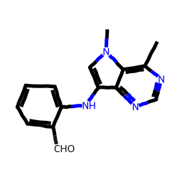 Cc1ncnc2c(Nc3ccccc3C=O)cn(C)c12